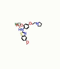 COc1ccc2sc(Nc3ccc(OCCN4CCCC4)cc3)nc2c1.Cl.O